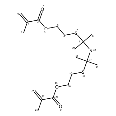 C=C(C)C(=O)OCCSC(C)(C)SC(C)(C)SCCOC(=O)C(=C)C